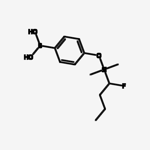 CCCC(F)[Si](C)(C)Oc1ccc(B(O)O)cc1